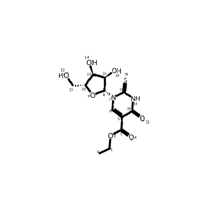 CCOC(=O)c1cn([C@@H]2O[C@H](CO)[C@@H](O)[C@H]2O)c(=S)[nH]c1=O